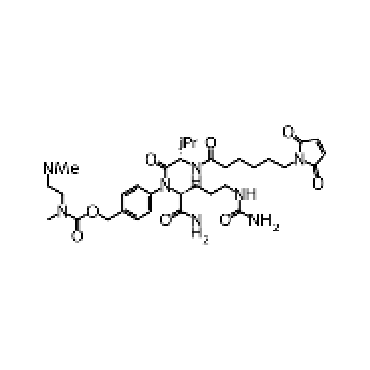 CNCCN(C)C(=O)OCc1ccc(N(C(=O)[C@@H](NC(=O)CCCCCN2C(=O)C=CC2=O)C(C)C)[C@@H](CCCNC(N)=O)C(N)=O)cc1